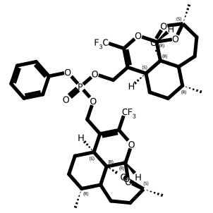 C[C@@H]1CC[C@H]2C(COP(=O)(OCC3=C(C(F)(F)F)O[C@@H]4O[C@]5(C)CCC6[C@H](C)CC[C@@H]3[C@]64OO5)Oc3ccccc3)=C(C(F)(F)F)O[C@@H]3O[C@]4(C)CCC1[C@]32OO4